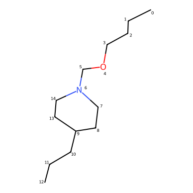 CCCCOCN1CCC(CCC)CC1